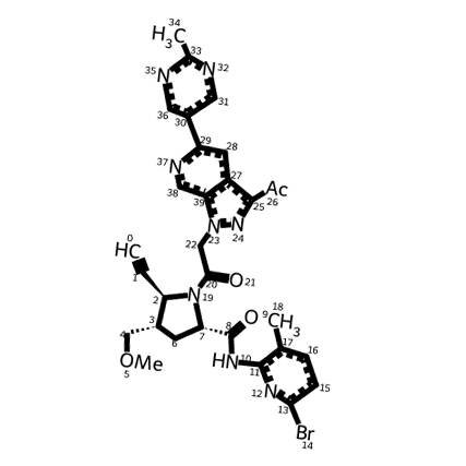 C#C[C@@H]1[C@@H](COC)C[C@@H](C(=O)Nc2nc(Br)ccc2C)N1C(=O)Cn1nc(C(C)=O)c2cc(-c3cnc(C)nc3)ncc21